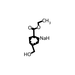 CCOC(=O)c1ccc(CO)cc1.[NaH]